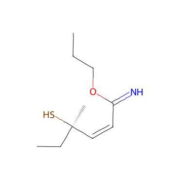 CCCOC(=N)/C=C\[C@](C)(S)CC